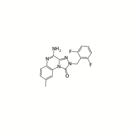 Cc1ccc2nc(N)c3nn(Cc4c(F)cccc4F)c(=O)n3c2c1